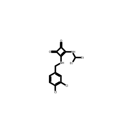 CCC(CC)Nc1c(NCc2ccc(Cl)c(Cl)c2)c(=O)c1=O